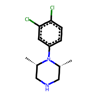 C[C@@H]1CNC[C@H](C)N1c1ccc(Cl)c(Cl)c1